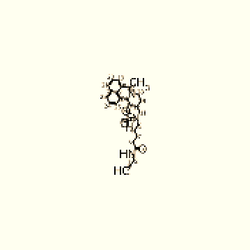 C#CCNC(=O)CCCCN(CC1CCN(C(C)c2cccc3ccccc23)CC1)[SH](=O)=O